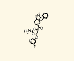 CN1N=C2CCN(C(=O)[C@@H](CCOc3cncc(F)c3)OC(N)=O)C[C@@]2(Cc2ccccc2)C1=O